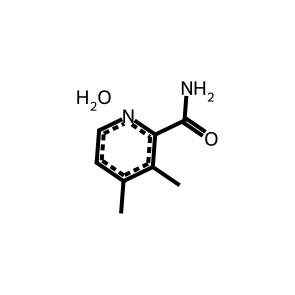 Cc1ccnc(C(N)=O)c1C.O